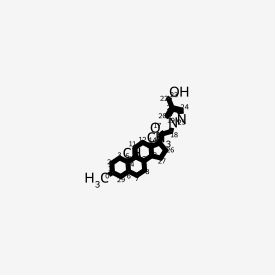 CC1CCC2(C)C(CCC3C2CCC2(C)C(C(=O)Cn4cc(CO)cn4)CCC32)C1